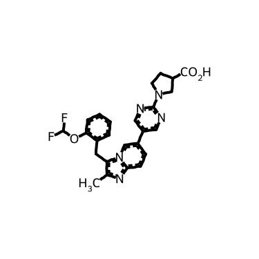 Cc1nc2ccc(-c3cnc(N4CCC(C(=O)O)C4)nc3)cn2c1Cc1ccccc1OC(F)F